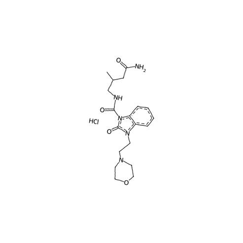 CC(CNC(=O)n1c(=O)n(CCN2CCOCC2)c2ccccc21)CC(N)=O.Cl